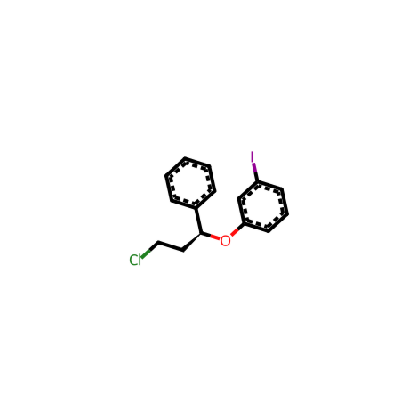 ClCC[C@H](Oc1cccc(I)c1)c1ccccc1